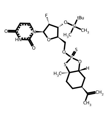 C=C(C)[C@H]1CC[C@@]2(C)SP(=S)(OC[C@H]3O[C@@H](n4ccc(=O)[nH]c4=O)[C@H](F)[C@@H]3O[Si](C)(C)C(C)(C)C)O[C@@H]2C1